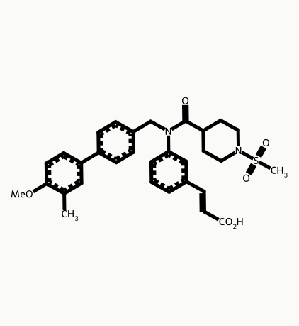 COc1ccc(-c2ccc(CN(C(=O)C3CCN(S(C)(=O)=O)CC3)c3cccc(C=CC(=O)O)c3)cc2)cc1C